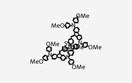 COc1ccc(N(c2ccc(OC)cc2)c2ccc3c(c2)C(=Cc2ccc4c(c2)Sc2cc(C=C5c6cc(N(c7ccc(OC)cc7)c7ccc(OC)cc7)ccc6-c6ccc(N(c7ccc(OC)cc7)c7ccc(OC)cc7)cc65)ccc2N4C)c2cc(N(c4ccc(OC)cc4)c4ccc(OC)cc4)ccc2-3)cc1